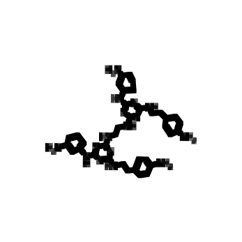 Nc1ccc(CCNc2nc(NCCNc3nc(NCCc4ccc(N)cc4)nc(Nc4cccc(N)c4)n3)nc(Nc3cccc(N)c3)n2)cc1